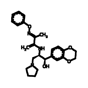 C=C(N[C@H](CN1CCCC1)[C@H](O)c1ccc2c(c1)OCCO2)/C(C)=N/Oc1ccccc1